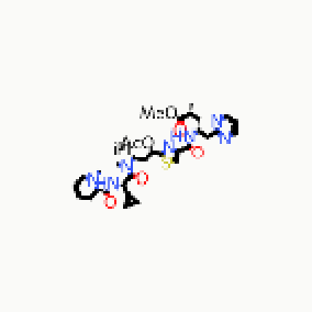 COC(=O)[C@@H](C)C[C@H](Cc1ncccn1)NC(=O)c1csc([C@@H](C[C@H](C(C)C)N(C)C(=O)[C@@H](NC(=O)[C@H]2CCCCN2C)C2CC2)OC(C)=O)n1